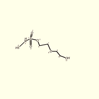 O=S(=O)(NS)OCCOCCO